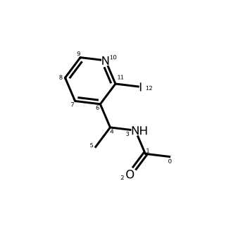 CC(=O)NC(C)c1cccnc1I